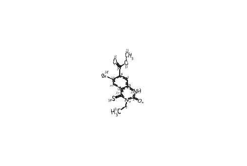 CCn1c(=O)[nH]c2cc(C(=O)OC)c(Br)cc2c1=S